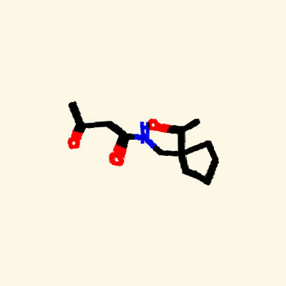 CC(=O)CC(=O)NCC1(C(C)=O)CCCC1